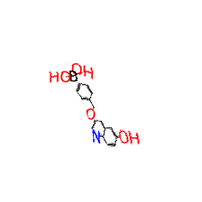 OB(O)c1ccc(COc2cnc3ccc(O)cc3c2)cc1